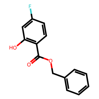 O=C(OCc1ccccc1)c1ccc(F)cc1O